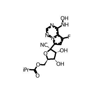 CC(C)C(=O)OC[C@H]1O[C@@](C#N)(c2cc(F)c3c(NO)ncnn23)[C@H](O)[C@@H]1O